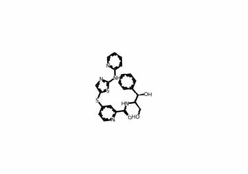 O=C(NC(CO)[C@H](O)c1ccccc1)c1cc(Sc2cnc(Nc3ccccn3)s2)ccn1